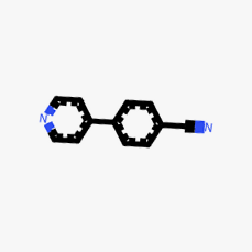 N#Cc1ccc(-c2[c]cncc2)cc1